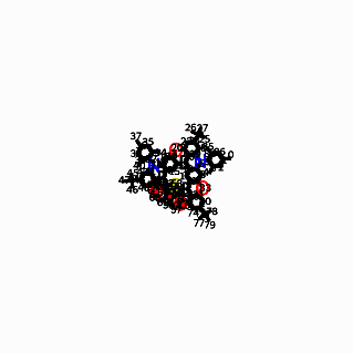 Cc1cc(C)c(N2c3cc4c(cc3B3c5cc6c(cc5Oc5cc(C(C)(C)C)cc2c53)N(c2c(C)cc(C)cc2C)c2cc(C(C)(C)C)cc3c2B6c2sc5ccccc5c2O3)B2c3sc5ccccc5c3Oc3cc(C(C)(C)C)cc(c32)O4)c(C)c1